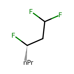 [CH2]CC[C@H](F)CC(F)F